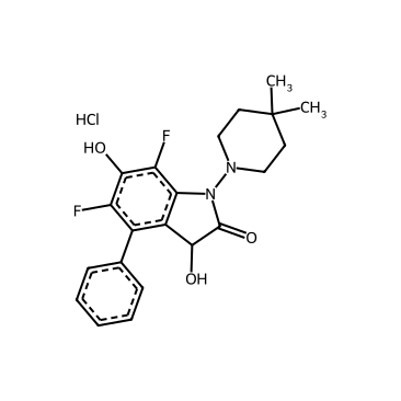 CC1(C)CCN(N2C(=O)C(O)c3c(-c4ccccc4)c(F)c(O)c(F)c32)CC1.Cl